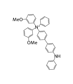 COc1cccc([N+](c2ccccc2)(c2ccc(-c3ccc(Nc4ccccc4)cc3)cc2)c2cccc(OC)c2)c1